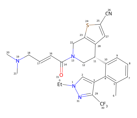 CCn1cc(-c2c(C)cccc2[C@@H]2CN(C(=O)/C=C/CN(C)C)Cc3sc(C#N)cc32)c(C(F)(F)F)n1